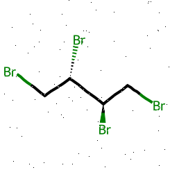 BrC[C@@H](Br)[C@@H](Br)CBr